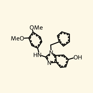 COc1ccc(Nc2nc3ccc(O)cc3n2Cc2ccccc2)cc1OC